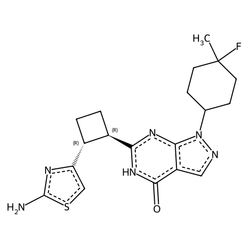 CC1(F)CCC(n2ncc3c(=O)[nH]c([C@@H]4CC[C@H]4c4csc(N)n4)nc32)CC1